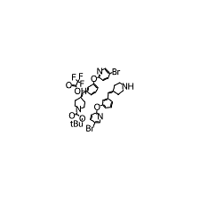 Brc1ccc(Oc2cccc(C=C3CCNCC3)c2)nc1.CC(C)(C)OC(=O)N1CCC(=Cc2cccc(Oc3ccc(Br)cn3)c2)CC1.O=C(O)C(F)(F)F